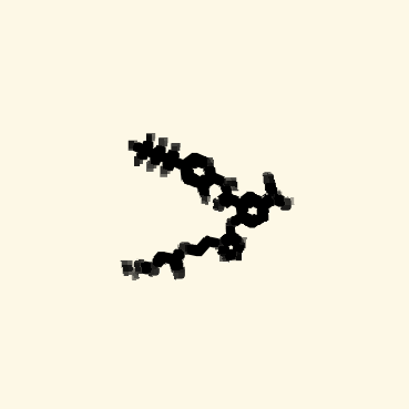 COCC(=O)OCCn1nnnc1Sc1ccc([N+](=O)[O-])cc1C(=O)Nc1ncc(C(F)(F)C(F)(F)C(F)(F)F)cc1F